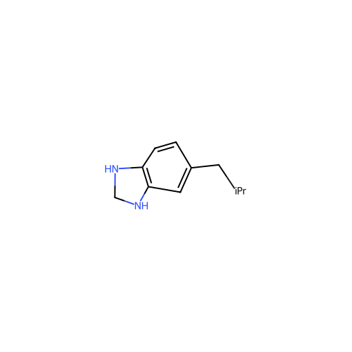 CC(C)Cc1ccc2c(c1)NCN2